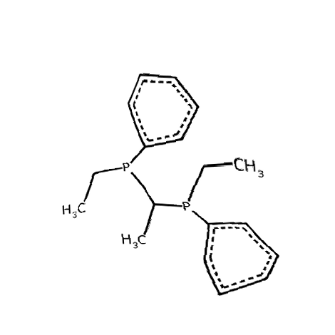 CCP(c1ccccc1)C(C)P(CC)c1ccccc1